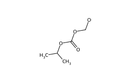 CC(C)OC(=O)OC[O]